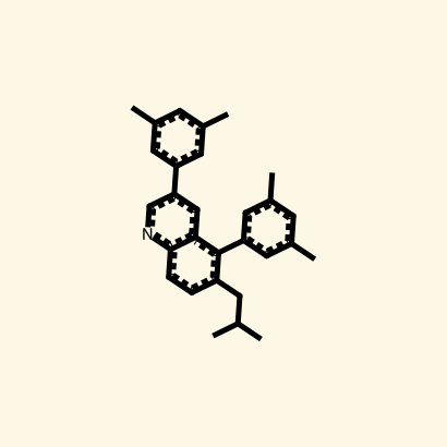 Cc1cc(C)cc(-c2cnc3ccc(CC(C)C)c(-c4cc(C)cc(C)c4)c3c2)c1